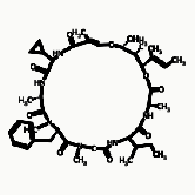 C/C=C(\C)[C@H]1OC(=O)[C@@H](C)NC(=O)C(C(C)CC)NC(=O)CN(C)C(=O)[C@@H](Cc2ccccc2)N(C)C(=O)[C@H](C)NC(=O)C(C2CC2)NC(=O)/C(C)=C/C[C@H](O)[C@@H]1C